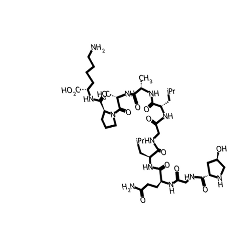 CC(C)C[C@H](NC(=O)CNC(=O)[C@H](CC(C)C)NC(=O)[C@H](CCC(N)=O)NC(=O)CNC(=O)[C@@H]1C[C@@H](O)CN1)C(=O)N[C@@H](C)C(=O)N[C@@H](C)C(=O)N1CCC[C@H]1C(=O)N[C@@H](CCCCN)C(=O)O